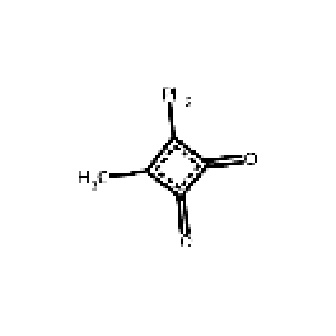 Cc1c(P)c(=O)c1=O